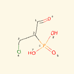 O=CC(CCl)P(=O)(O)O